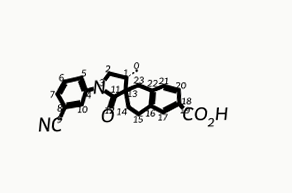 C[C@H]1CN(c2cccc(C#N)c2)C(=O)C12CCc1cc(C(=O)O)ccc1C2